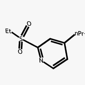 CC[CH]c1ccnc(S(=O)(=O)CC)c1